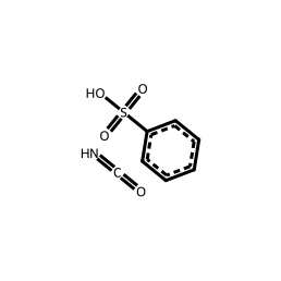 N=C=O.O=S(=O)(O)c1ccccc1